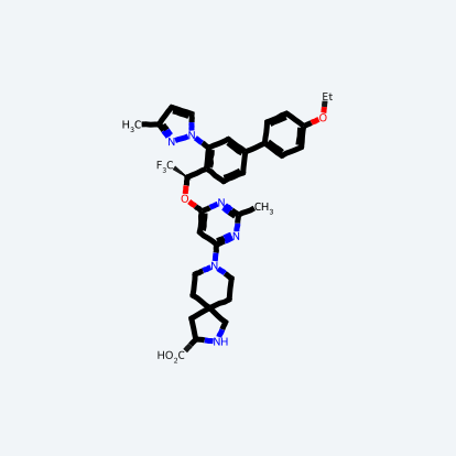 CCOc1ccc(-c2ccc([C@@H](Oc3cc(N4CCC5(CC4)CNC(C(=O)O)C5)nc(C)n3)C(F)(F)F)c(-n3ccc(C)n3)c2)cc1